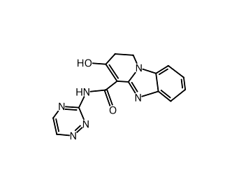 O=C(Nc1nccnn1)C1=C(O)CCn2c1nc1ccccc12